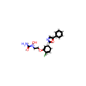 NC(=O)N(O)CCOC1=C[C@H](c2ncc(-c3ccccc3)o2)CC=C1F